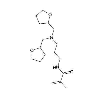 C=C(C)C(=O)NCCCN(CC1CCCO1)CC1CCCO1